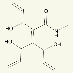 C=CC(O)C(C(=O)NC)=C(C(O)C=C)C(O)C=C